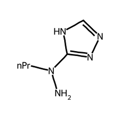 CCCN(N)c1nnc[nH]1